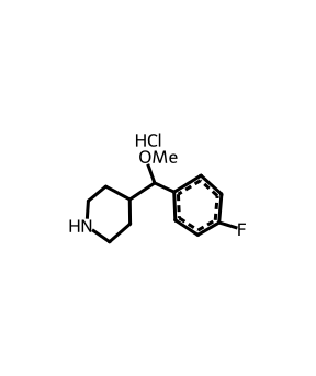 COC(c1ccc(F)cc1)C1CCNCC1.Cl